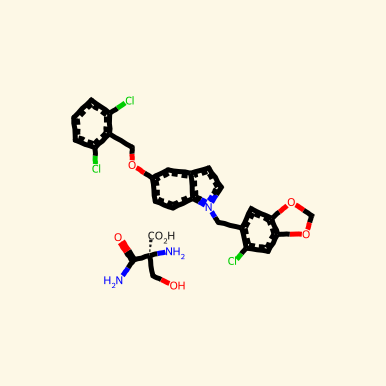 Clc1cc2c(cc1Cn1ccc3cc(OCc4c(Cl)cccc4Cl)ccc31)OCO2.NC(=O)[C@@](N)(CO)C(=O)O